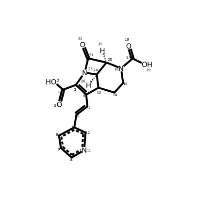 O=C(O)C1=C(/C=C/c2cccnc2)C2CCN(C(=O)O)[C@@H]3C(=O)N1[C@H]23